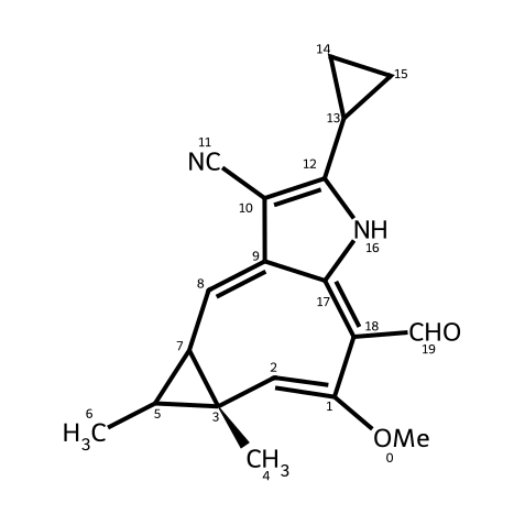 COC1=C/[C@]2(C)C(C)C2/C=c2/c(C#N)c(C3CC3)[nH]/c2=C/1C=O